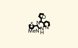 CNC1Nc2ncccc2C(c2ccco2)=NC1c1cccs1